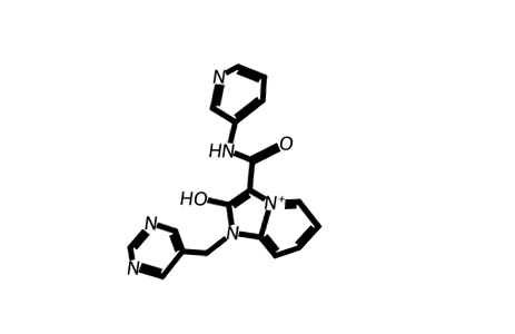 O=C(Nc1cccnc1)c1c(O)n(Cc2cncnc2)c2cccc[n+]12